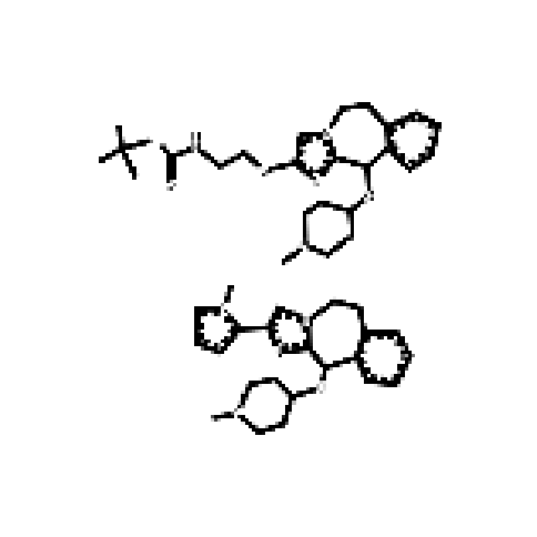 CN1CCC(OC2c3ccccc3CCn3cc(-c4cccn4C)nc32)CC1.CN1CCC(OC2c3ccccc3CCn3cc(SCCNC(=O)OC(C)(C)C)nc32)CC1